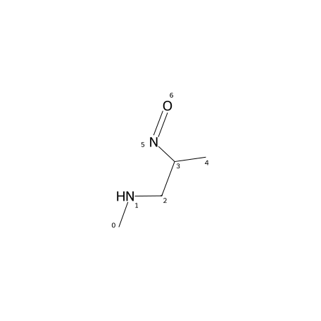 CNCC(C)N=O